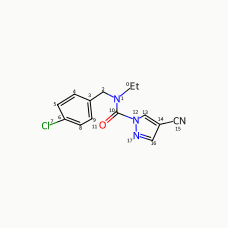 CCN(Cc1ccc(Cl)cc1)C(=O)n1cc(C#N)cn1